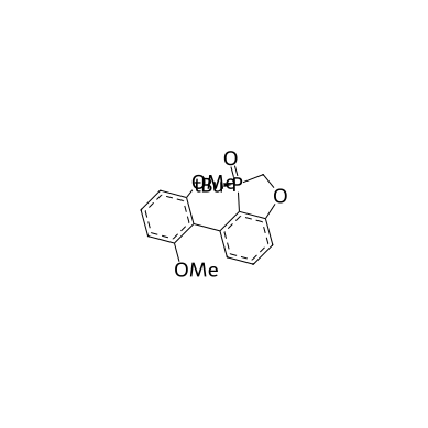 COc1cccc(OC)c1-c1cccc2c1[P@@](=O)(C(C)(C)C)CO2